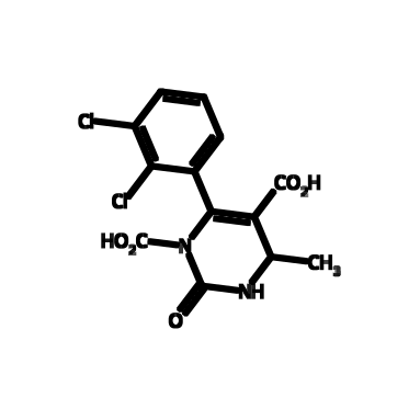 CC1NC(=O)N(C(=O)O)C(c2cccc(Cl)c2Cl)=C1C(=O)O